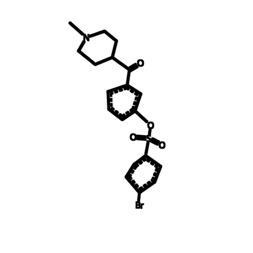 CN1CCC(C(=O)c2cccc(OS(=O)(=O)c3ccc(Br)cc3)c2)CC1